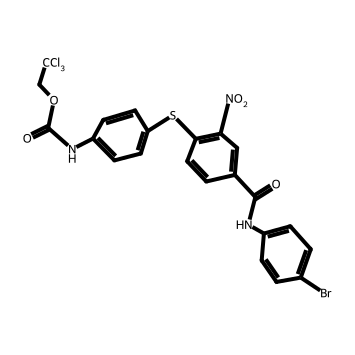 O=C(Nc1ccc(Sc2ccc(C(=O)Nc3ccc(Br)cc3)cc2[N+](=O)[O-])cc1)OCC(Cl)(Cl)Cl